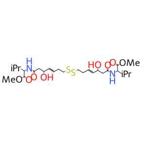 COC(=O)C(NC(=O)CC(O)/C=C/CCSSCC/C=C/C(O)CC(=O)NC(C(=O)OC)C(C)C)C(C)C